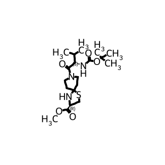 COC(=O)[C@@H]1CSC2(CCN(C(=O)[C@@H](NC(=O)OC(C)(C)C)C(C)C)CC2)N1